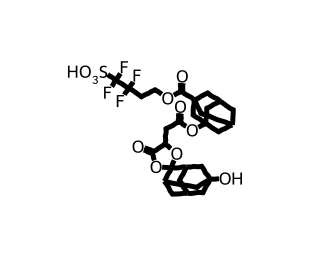 O=C(CC1OC2(OC1=O)C1CC3CC2CC(O)(C3)C1)OC12CC3CC(C1)CC(C(=O)OCCC(F)(F)C(F)(F)S(=O)(=O)O)(C3)C2